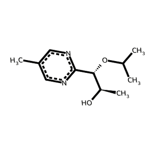 Cc1cnc([C@H](OC(C)C)[C@@H](C)O)nc1